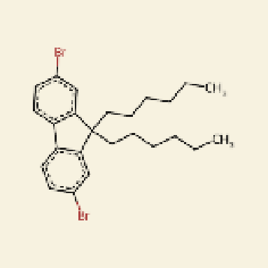 CCCCCCC1(CCCCCC)c2cc(Br)ccc2-c2ccc(Br)cc21